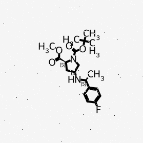 COC(=O)[C@@H]1C[C@H](N[C@@H](C)c2ccc(F)cc2)CN1C(=O)OC(C)(C)C